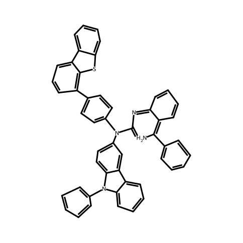 C=C(/N=C1/C=CC=C/C1=C(/N)c1ccccc1)N(c1ccc(-c2cccc3c2sc2ccccc23)cc1)c1ccc2c(c1)c1ccccc1n2-c1ccccc1